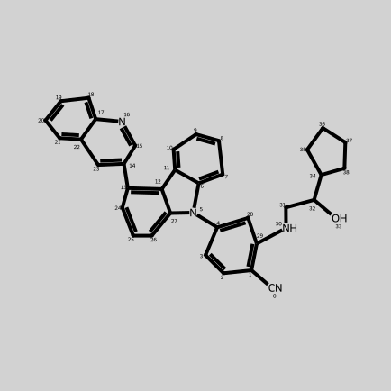 N#Cc1ccc(-n2c3ccccc3c3c(-c4cnc5ccccc5c4)cccc32)cc1NCC(O)C1CCCC1